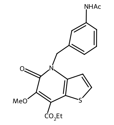 CCOC(=O)c1c(OC)c(=O)n(Cc2cccc(NC(C)=O)c2)c2ccsc12